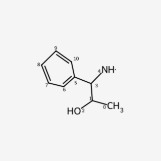 CC(O)C([NH])c1ccccc1